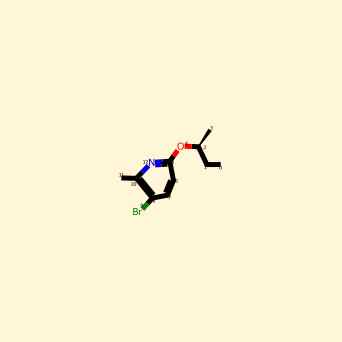 CC[C@H](C)Oc1ccc(Br)c(C)n1